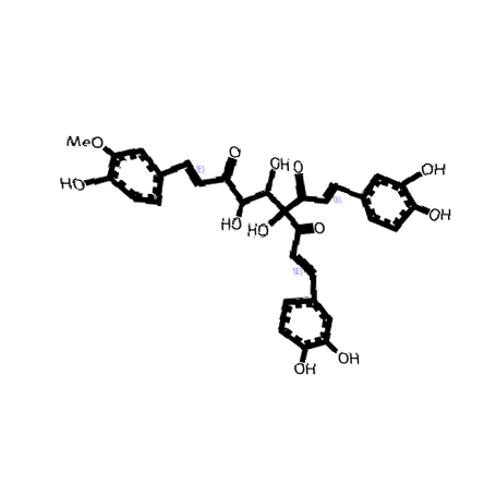 COc1cc(/C=C/C(=O)C(O)C(O)C(O)(C(=O)/C=C/c2ccc(O)c(O)c2)C(=O)/C=C/c2ccc(O)c(O)c2)ccc1O